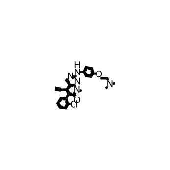 C#Cc1c(-c2ccccc2Cl)c(=O)n(C)c2nc(Nc3ccc(OCCN(C)C)cc3)ncc12